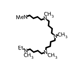 CCN(C)CCCCN(C)CCCCN(C)CCCCN(C)CCCCNC